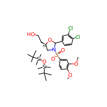 CC(C)(C)[Si](C)(C)O[Si](C)(C)C(C)(C)C.COc1ccc(S(=O)(=O)N2C[C@@H](CCO)OC2c2ccc(Cl)c(Cl)c2)cc1OC